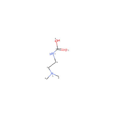 CN(C)CCNC(=O)O